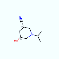 CC(C)N1C[C@H](O)C[C@H](C#N)C1